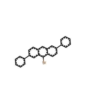 Brc1c2ccc(-c3ccccc3)cc2cc2ccc(-c3ccccc3)cc12